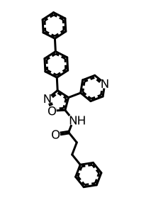 O=C(CCc1ccccc1)Nc1onc(-c2ccc(-c3ccccc3)cc2)c1-c1ccncc1